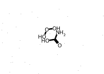 NC(=O)O.OOO